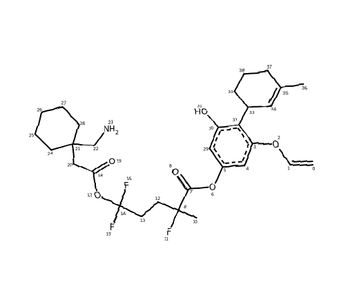 C=COc1cc(OC(=O)C(C)(F)CCC(F)(F)OC(=O)CC2(CN)CCCCC2)cc(O)c1C1C=C(C)CCC1